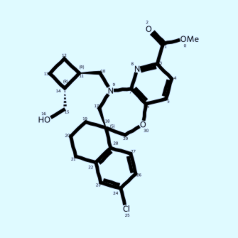 COC(=O)c1ccc2c(n1)N(C[C@@H]1CC[C@H]1CO)C[C@@]1(CCCc3cc(Cl)ccc31)CO2